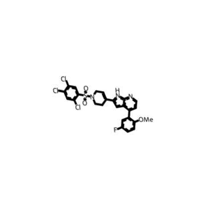 COc1ccc(F)cc1-c1ccnc2[nH]c(C3=CCN(S(=O)(=O)c4cc(Cl)c(Cl)cc4Cl)CC3)cc12